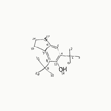 CC(C)(C)c1cc2c(c(C(C)(C)C)c1O)CCS2